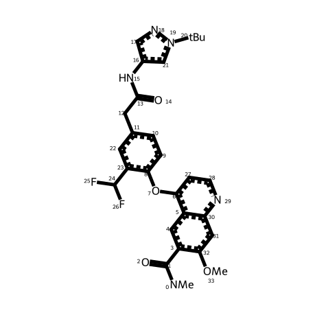 CNC(=O)c1cc2c(Oc3ccc(CC(=O)Nc4cnn(C(C)(C)C)c4)cc3C(F)F)ccnc2cc1OC